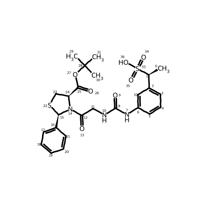 C[C@@H](c1cccc(NC(=O)NCC(=O)N2[C@@H](c3ccccc3)SC[C@H]2C(=O)OC(C)(C)C)c1)S(=O)(=O)O